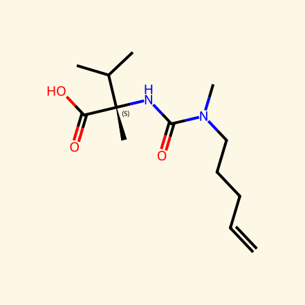 C=CCCCN(C)C(=O)N[C@](C)(C(=O)O)C(C)C